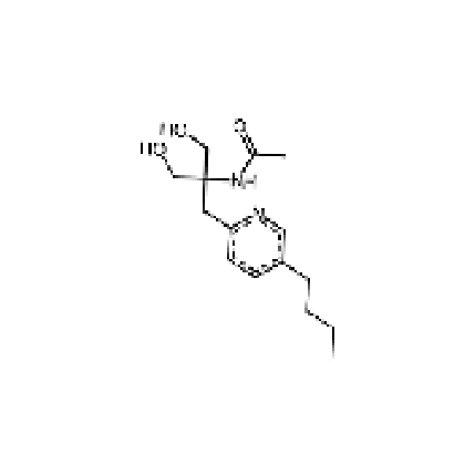 CCCCc1ccc(CC(CO)(CO)NC(C)=O)nc1